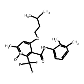 Cc1cccc(NC(=O)c2c(OCCC(C)C)cc(C)[n+]([O-])c2C(F)(F)F)c1C